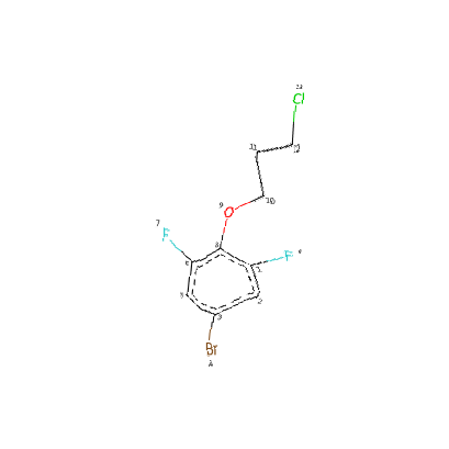 Fc1cc(Br)cc(F)c1OCCCCl